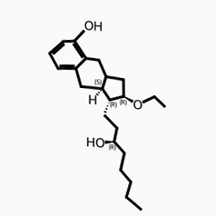 CCCCC[C@@H](O)CC[C@H]1[C@H](OCC)CC2Cc3c(O)cccc3C[C@@H]21